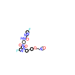 O=C(NC1CCC(n2c(=O)c3cc(F)cnc3n(-c3cccc(-c4ccc(OCCCN5CCOCC5)cc4)c3)c2=O)CC1)c1cn2cc(F)ccc2n1